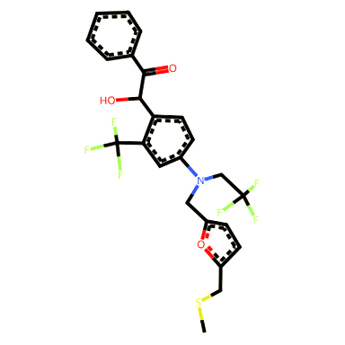 CSCc1ccc(CN(CC(F)(F)F)c2ccc(C(O)C(=O)c3ccccc3)c(C(F)(F)F)c2)o1